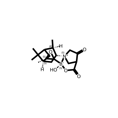 C[C@@H]1C2C[C@@H](CC1[N@+]13CC(=O)C(C1)C(=O)O[B@@-]3(O)C1O[C@H]1C)C2(C)C